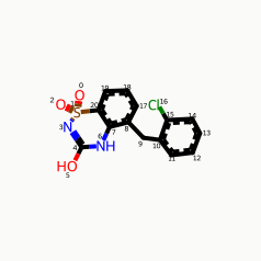 O=S1(=O)N=C(O)Nc2c(Cc3ccccc3Cl)cccc21